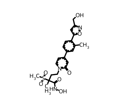 Cc1cc(-c2ccn(CCC(C)(C(=O)NO)S(C)(=O)=O)c(=O)c2)ccc1-c1cc(CO)no1